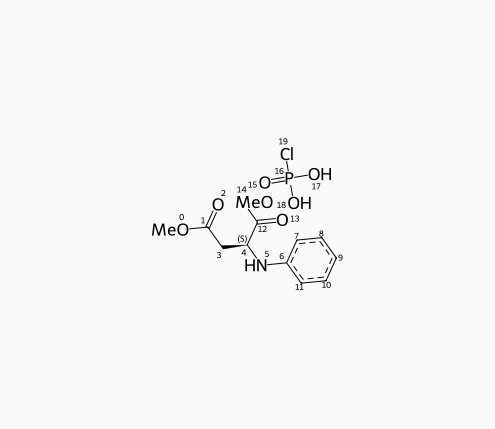 COC(=O)C[C@H](Nc1ccccc1)C(=O)OC.O=P(O)(O)Cl